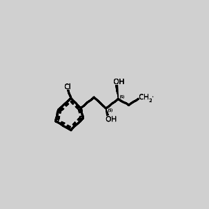 [CH2]C[C@H](O)[C@@H](O)Cc1ccccc1Cl